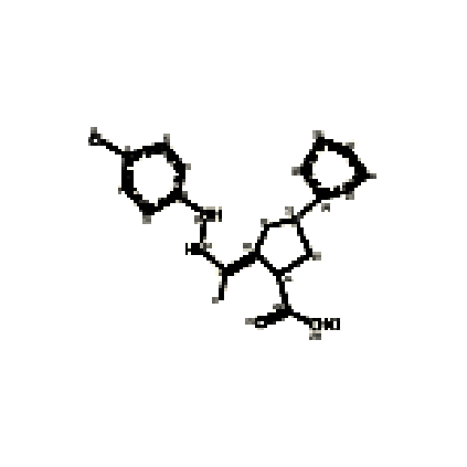 CC(NNc1ccc(Cl)cc1)=C1CN(c2ccccc2)CC1C(=O)C=O